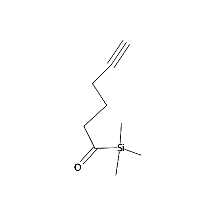 C#CCCCC(=O)[Si](C)(C)C